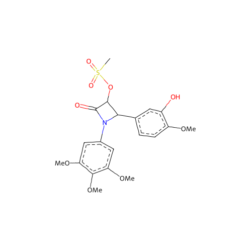 COc1ccc(C2C(OS(C)(=O)=O)C(=O)N2c2cc(OC)c(OC)c(OC)c2)cc1O